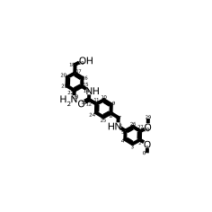 COc1ccc(NCc2ccc(C(=O)Nc3cc(CO)ccc3N)cc2)cc1OC